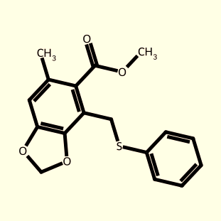 COC(=O)c1c(C)cc2c(c1CSc1ccccc1)OCO2